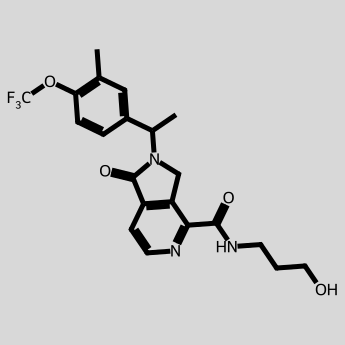 Cc1cc(C(C)N2Cc3c(ccnc3C(=O)NCCCO)C2=O)ccc1OC(F)(F)F